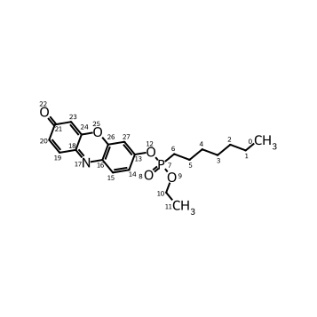 CCCCCCCP(=O)(OCC)Oc1ccc2nc3ccc(=O)cc-3oc2c1